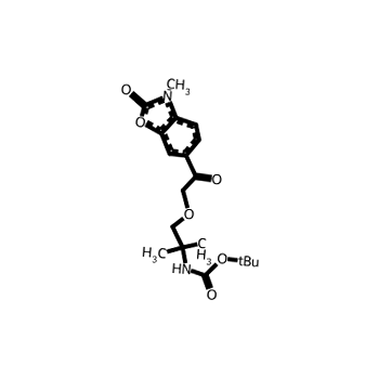 Cn1c(=O)oc2cc(C(=O)COCC(C)(C)NC(=O)OC(C)(C)C)ccc21